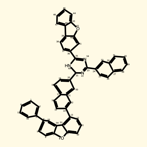 c1ccc(-c2ccc3oc4cccc(-c5ccc6ccc(C7N=C(c8ccc9ccccc9c8)N=C(c8ccc9c(c8)oc8ccccc89)N7)cc6c5)c4c3c2)cc1